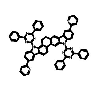 c1ccc(-c2nc(-c3ccccc3)nc(-n3c4ccc(-c5ccccn5)cc4c4cc5c(cc43)-c3ccc4c6cc(-c7ccccn7)ccc6n(-c6nc(-c7ccccc7)nc(-c7ccccc7)n6)c4c3CC5)n2)cc1